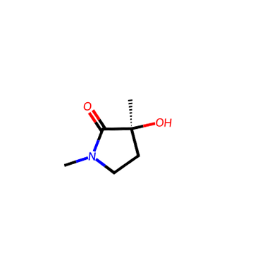 CN1CC[C@](C)(O)C1=O